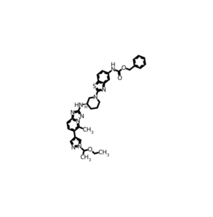 CCOC(C)n1cc(-c2ccc3nc(N[C@@H]4CCCN(c5nc6cc(NC(=O)OCc7ccccc7)ccc6s5)C4)nn3c2C)cn1